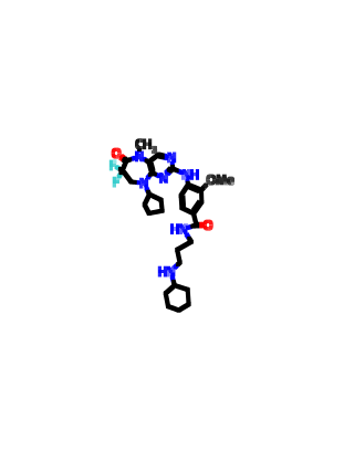 COc1cc(C(=O)NCCCNC2CCCCC2)ccc1Nc1ncc2c(n1)N(C1CCCC1)CC(F)(F)C(=O)N2C